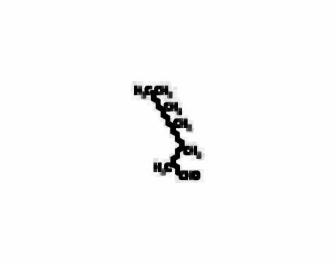 CC(C)=CCC/C(C)=C/CC/C(C)=C/CC/C=C(/C)CC/C=C(/C)CCC=O